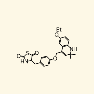 CCOc1ccc2c(c1)C(COc1ccc(CC3NC(=O)SC3=O)cc1)=CC(C)(C)N2